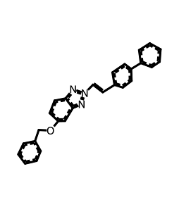 C(=Cn1nc2ccc(OCc3ccccc3)cc2n1)c1ccc(-c2ccccc2)cc1